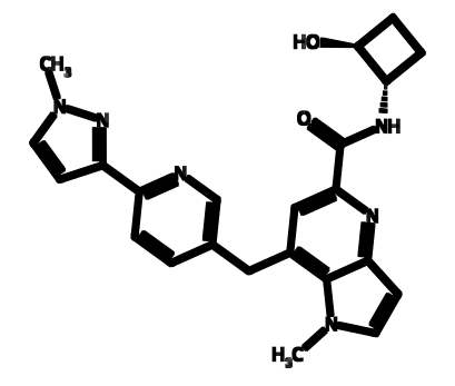 Cn1ccc(-c2ccc(Cc3cc(C(=O)N[C@H]4CC[C@@H]4O)nc4ccn(C)c34)cn2)n1